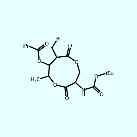 CC(C)C(=O)OC1C(C)OC(=O)C(NC(=O)OC(C)(C)C)COC(=O)C1CBr